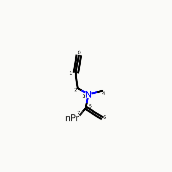 C#CCN(C)C(=C)CCC